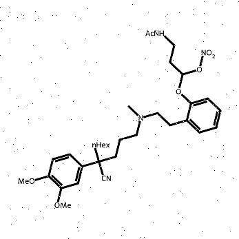 CCCCCCC(C#N)(CCCN(C)CCc1ccccc1OC(CCNC(C)=O)O[N+](=O)[O-])c1ccc(OC)c(OC)c1